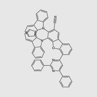 N#Cc1cc2c(oc3c(-c4cc(-c5ccccc5)nc(-c5ccccc5)n4)cccc32)c(-n2c3ccccc3c3ccccc32)c1-n1c2ccccc2c2ccccc21